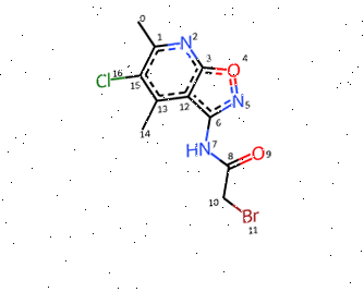 Cc1nc2onc(NC(=O)CBr)c2c(C)c1Cl